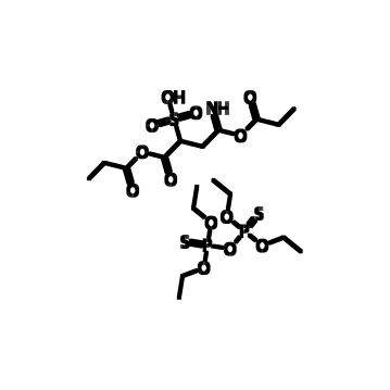 CCC(=O)OC(=N)CC(C(=O)OC(=O)CC)S(=O)(=O)O.CCOP(=S)(OCC)OP(=S)(OCC)OCC